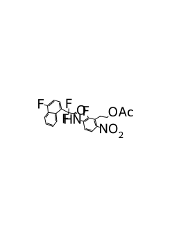 CC(=O)OCCc1c([N+](=O)[O-])ccc(NC(=O)C(F)(F)c2ccc(F)c3ccccc23)c1F